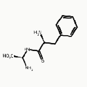 N[C@H](NC(=O)[C@@H](N)Cc1ccccc1)C(=O)O